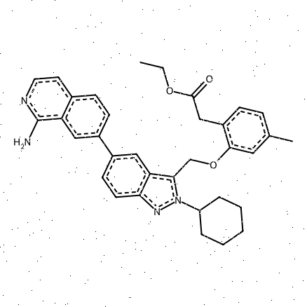 CCOC(=O)Cc1ccc(C)cc1OCc1c2cc(-c3ccc4ccnc(N)c4c3)ccc2nn1C1CCCCC1